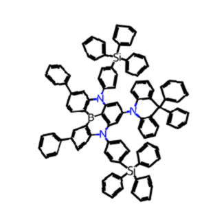 c1ccc(-c2ccc3c(c2)B2c4ccc(-c5ccccc5)cc4N(c4ccc([Si](c5ccccc5)(c5ccccc5)c5ccccc5)cc4)c4cc(N5c6ccccc6C(c6ccccc6)(c6ccccc6)c6ccccc65)cc(c42)N3c2ccc([Si](c3ccccc3)(c3ccccc3)c3ccccc3)cc2)cc1